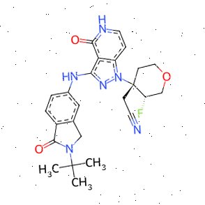 CC(C)(C)N1Cc2cc(Nc3nn([C@]4(CC#N)CCOC[C@@H]4F)c4cc[nH]c(=O)c34)ccc2C1=O